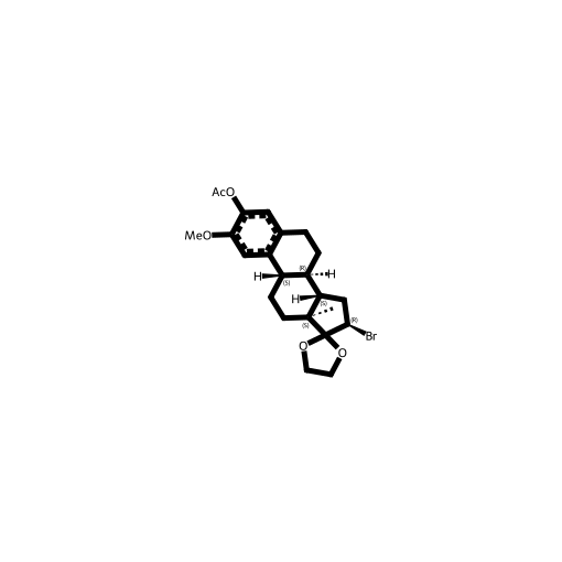 COc1cc2c(cc1OC(C)=O)CC[C@@H]1[C@@H]2CC[C@@]2(C)[C@H]1C[C@@H](Br)C21OCCO1